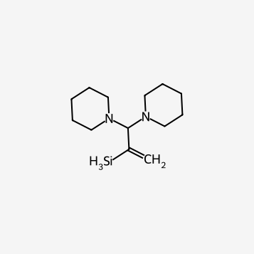 C=C([SiH3])C(N1CCCCC1)N1CCCCC1